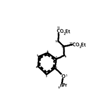 CCCOc1ccccc1CC(CC(=O)OCC)C(=O)OCC